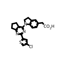 O=C(O)Cc1ccc2c(c1)CCN2c1nc(-c2cc(Cl)cs2)nc2c1CCC2